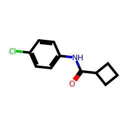 O=C(Nc1ccc(Cl)cc1)C1CCC1